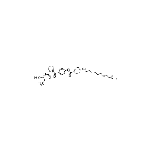 CCCCCCCCCCOc1ccc(C(=O)Oc2ccc(C(=O)N3CCC[C@H]3C(=O)O[C@H](C)CC)cc2)cc1